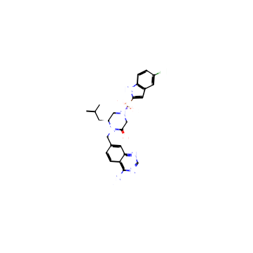 CC(C)C[C@H]1CN(S(=O)(=O)c2cc3cc(Cl)ccc3[nH]2)CC(=O)N1Cc1ccc2c(N)ncnc2c1